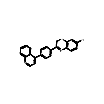 Clc1ccc2c(c1)OCC(c1ccc(-c3ccnc4ccccc34)cc1)=N2